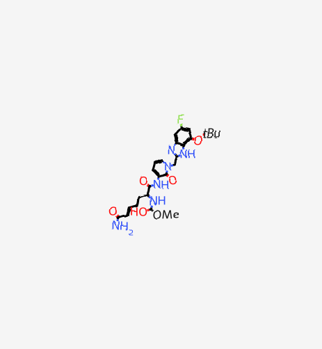 COC(O)N[C@@H](CC/C=C/C(N)=O)C(=O)Nc1cccn(Cc2nc3cc(F)cc(OC(C)(C)C)c3[nH]2)c1=O